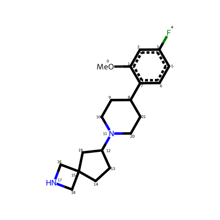 COc1cc(F)ccc1C1CCN(C2CCC3(CNC3)C2)CC1